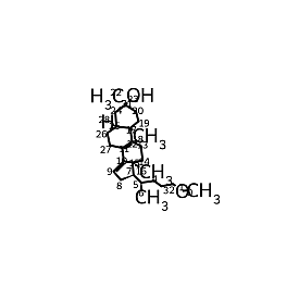 COCCC[C@@H](C)[C@H]1CC=C2C3=C(CC[C@@]21C)[C@@]1(C)CC[C@](C)(O)C[C@@H]1CC3